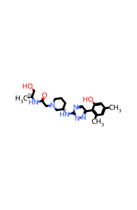 Cc1cc(C)c(-c2cnc(N[C@@H]3CCCN(CC(=O)N[C@@H](C)CO)C3)nn2)c(O)c1